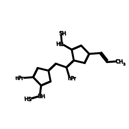 C/C=C/C1CC(BS)C(C(CCC)CC2CC(BS)C(CCC)C2)C1